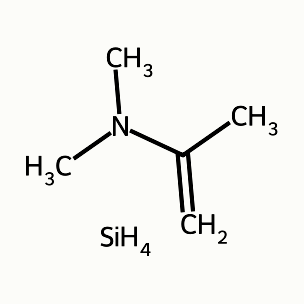 C=C(C)N(C)C.[SiH4]